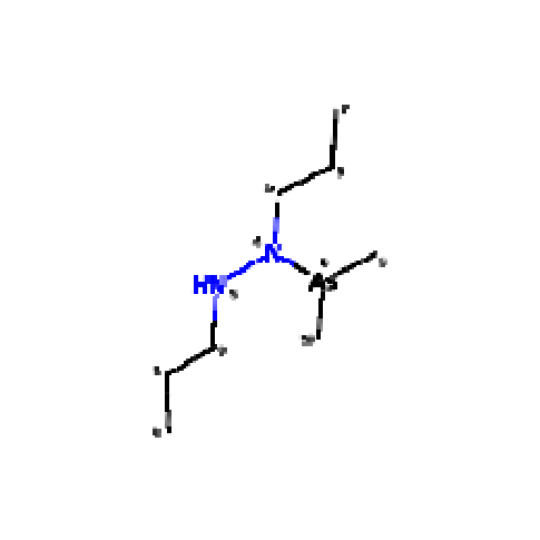 CCCNN(CCC)[As](C)C